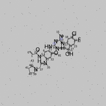 C=CC(=O)Nc1cc(N/C(N=C)=N/C(=N\C)Nc2cc(Cl)c(F)cc2C(C)(C)O)c(OC)cc1N(C)CCN1CCC[C@@H]1C